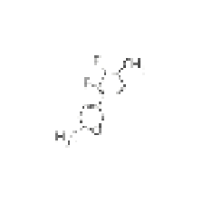 Cc1ccc(C2=CCC(C)OC2)c(F)c1F